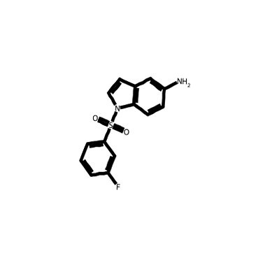 Nc1ccc2c(ccn2S(=O)(=O)c2cccc(F)c2)c1